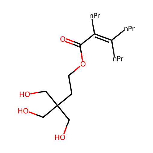 CCCC(CCC)=C(CCC)C(=O)OCCC(CO)(CO)CO